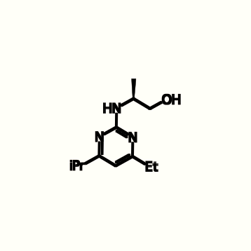 CCc1cc(C(C)C)nc(N[C@@H](C)CO)n1